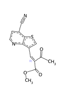 COC(=O)/C(=C/c1csc2c(C#N)ccnc12)C(C)=O